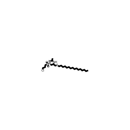 CCCCCCCCCCCCCCCCSCC(CNS(=O)(=O)CCCCl)NC(C)=O